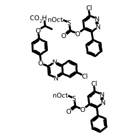 CC(Oc1ccc(Oc2cnc3cc(Cl)ccc3n2)cc1)C(=O)O.CCCCCCCCSC(=O)Oc1cc(Cl)nnc1-c1ccccc1.CCCCCCCCSC(=O)Oc1cc(Cl)nnc1-c1ccccc1